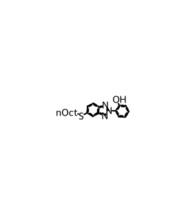 CCCCCCCCSc1ccc2nn(-c3ccccc3O)nc2c1